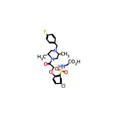 C[C@@H]1CN(Cc2ccc(F)cc2)[C@@H](C)CN1C(=O)COc1ccc(Cl)cc1S(=O)(=O)NCC(=O)O